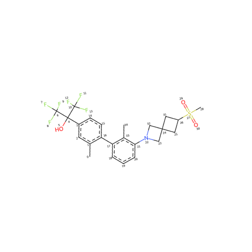 Cc1cc(C(O)(C(F)(F)F)C(F)(F)F)ccc1-c1cccc(N2CC3(CC(S(C)(=O)=O)C3)C2)c1C